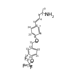 CC(N)CC=Cc1ccc(OCc2ccc(OC(F)(F)F)cc2)cc1